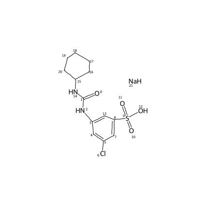 O=C(Nc1cc(Cl)cc(S(=O)(=O)O)c1)NC1CCCCC1.[NaH]